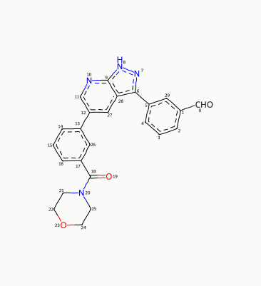 O=Cc1cccc(-c2n[nH]c3ncc(-c4cccc(C(=O)N5CCOCC5)c4)cc23)c1